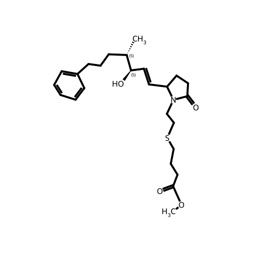 COC(=O)CCCSCCN1C(=O)CCC1C=C[C@@H](O)[C@@H](C)CCCc1ccccc1